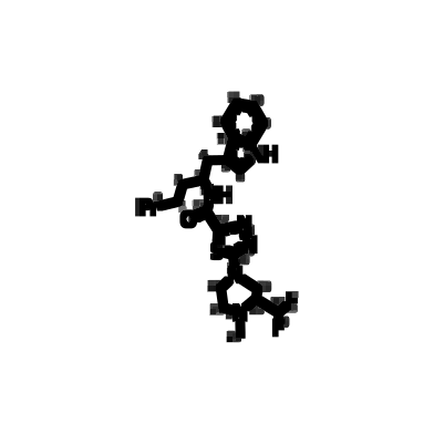 CC(C)CCC(Cc1c[nH]c2ccccc12)NC(=O)c1nnc(N2CCN(C)C(C(F)F)C2)s1